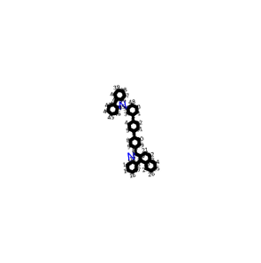 c1cc(-c2ccc(-c3ccc(-c4nc5ccccc5c5c4ccc4ccccc45)cc3)cc2)cc(-n2c3ccccc3c3ccccc32)c1